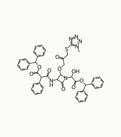 Cn1nnnc1SCC(=O)COC1C(NC(=O)C(C(=O)OC(c2ccccc2)c2ccccc2)c2ccccc2)C(=O)N1C(O)C(=O)OC(c1ccccc1)c1ccccc1